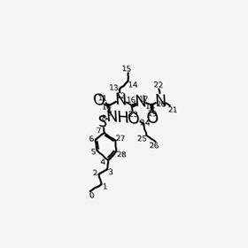 CCCCc1ccc(SNC(=O)N(CCC)C(=NC(=O)N(C)C)OCCC)cc1